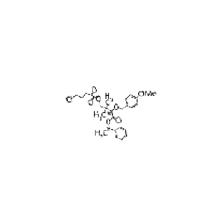 COc1ccc(CO[C@@H](C(=O)O[C@H](C)c2ccccc2)C(C)(C)COS(=O)(=O)CCCCl)cc1